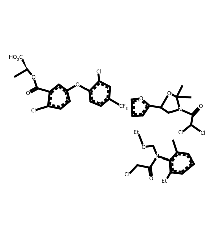 CC1(C)OC(c2ccco2)CN1C(=O)C(Cl)Cl.CCOCN(C(=O)CCl)c1c(C)cccc1CC.C[C@H](OC(=O)c1cc(Oc2ccc(C(F)(F)F)cc2Cl)ccc1Cl)C(=O)O